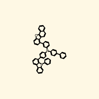 c1ccc(-c2ccc(N(c3ccc(-c4cccc5c6ccccc6n(-c6ccccc6)c45)cc3)c3cccc(-c4cccc5oc6c7ccccc7ccc6c45)c3)cc2)cc1